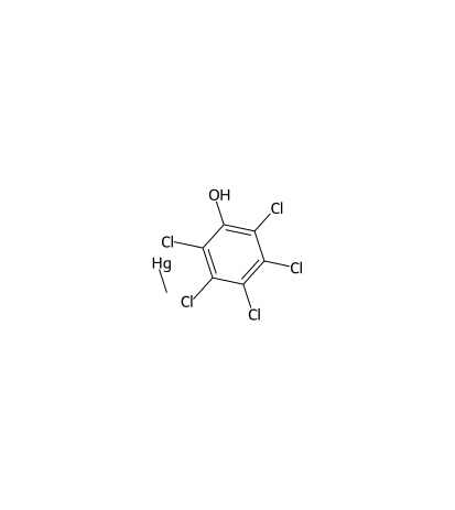 Oc1c(Cl)c(Cl)c(Cl)c(Cl)c1Cl.[CH3][Hg]